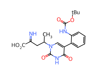 CC(CC(=N)C(=O)O)n1cc(-c2ccccc2NC(=O)OC(C)(C)C)c(=O)[nH]c1=O